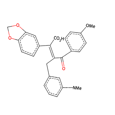 CNc1cccc(CC(C(=O)c2ccc(OC)cc2)=C(C(=O)O)c2ccc3c(c2)OCO3)c1